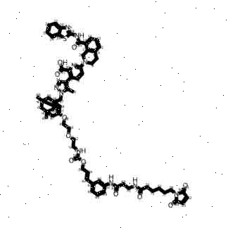 Cc1c(-c2ccc(N3CCc4cccc(C(=O)Nc5nc6ccccc6s5)c4C3)nc2C(=O)O)cnn1CC12CC3(C)CC(C)(C1)CC(OCCOCCNC(=O)OC/C=C/c1cc[c]c(NC(=O)CCNC(=O)CCCCCN4C(=O)C=CC4=O)c1)(C3)C2